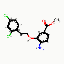 COC(=O)c1ccc(N)c(OCCc2ccc(Cl)cc2Cl)c1